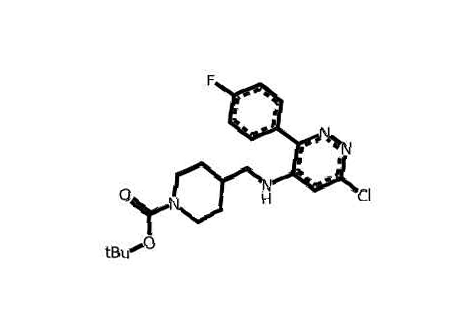 CC(C)(C)OC(=O)N1CCC(CNc2cc(Cl)nnc2-c2ccc(F)cc2)CC1